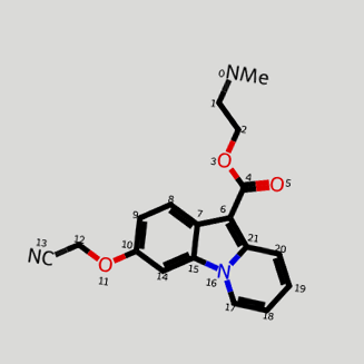 CNCCOC(=O)c1c2ccc(OCC#N)cc2n2ccccc12